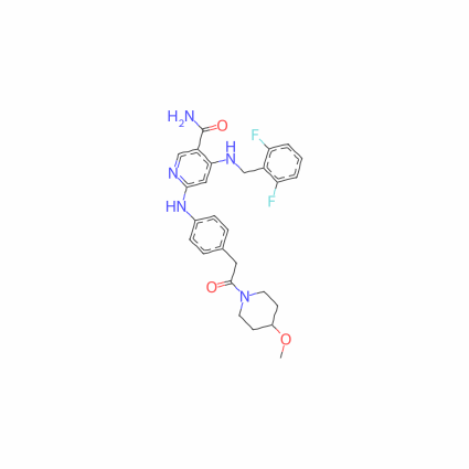 COC1CCN(C(=O)Cc2ccc(Nc3cc(NCc4c(F)cccc4F)c(C(N)=O)cn3)cc2)CC1